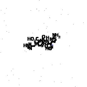 Nc1nc(/C(=N/O)C(=O)N[C@@H]2C(=O)N3C(C(=O)O)=C(SCc4nc[nH]n4)CS[C@@H]23)cs1